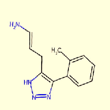 Cc1ccccc1-c1nn[nH]c1CC=CN